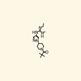 CC/N=C(\NC)Nc1cnn(C2CCN(C(=O)C(C)(C)C)CC2)c1